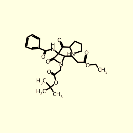 CCOC(=O)CCC1N(CC(=O)OC(C)(C)C)C(=O)C1(NC(=O)c1ccccc1)C(=O)C1CCCN1